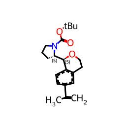 C=C(C)c1ccc2c(c1)CCO[C@@H]2[C@@H]1CCCN1C(=O)OC(C)(C)C